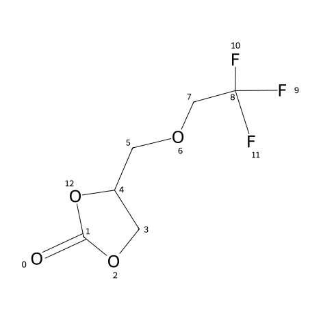 O=C1OCC(COCC(F)(F)F)O1